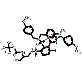 COc1ccc(CN(Cc2ccc(OC)cc2)S(=O)(=O)c2c(S(=O)(=O)NCC(CO)NC(=O)OC(C)(C)C)ccc(I)c2-c2nnn(Cc3ccc(OC)cc3)n2)cc1